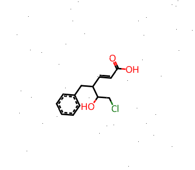 O=C(O)C=CC(Cc1ccccc1)C(O)CCl